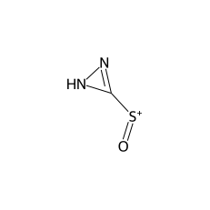 O=[S+]C1=NN1